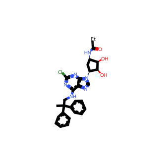 CCC(=O)N[C@H]1C[C@@H](n2cnc3c(NCC(C)(c4ccccc4)c4ccccc4)nc(Cl)nc32)[C@H](O)[C@@H]1O